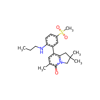 CCCNc1ccc(S(C)(=O)=O)cc1-c1cc(C)c(=O)n2c1CC(C)(C)C2